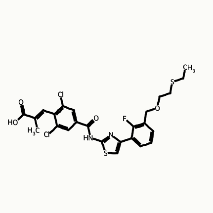 CCSCCOCc1cccc(-c2csc(NC(=O)c3cc(Cl)c(C=C(C)C(=O)O)c(Cl)c3)n2)c1F